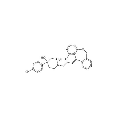 COc1cccc2c1C(=CCCN1CCC(O)(c3ccc(Cl)cc3)CC1)c1cccnc1CO2